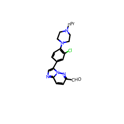 CCCN1CCN(c2ccc(-c3cnc4ccc(C=O)nn34)cc2Cl)CC1